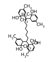 CC1=CC(C(CCCCCCC(C2C=C(C)C=CC2(C)O)C2C=C(C)C=CC2(C)O)C2C=C(C)C=CC2(C)O)C(C)(O)C=C1